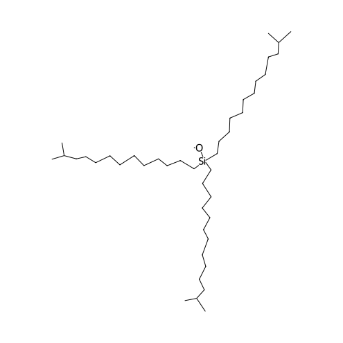 CC(C)CCCCCCCCCCC[Si]([O])(CCCCCCCCCCCC(C)C)CCCCCCCCCCCC(C)C